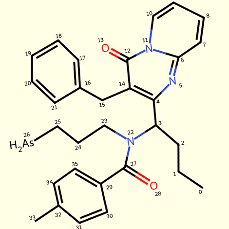 CCCC(c1nc2ccccn2c(=O)c1Cc1ccccc1)N(CCC[AsH2])C(=O)c1ccc(C)cc1